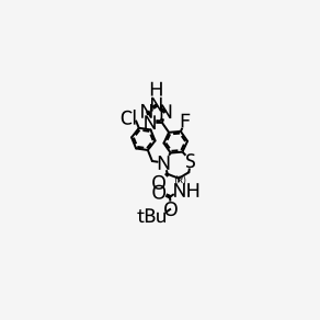 CC(C)(C)OC(=O)N[C@H]1CSc2cc(F)c(-c3nn[nH]n3)cc2N(Cc2ccc(Cl)cc2)C1=O